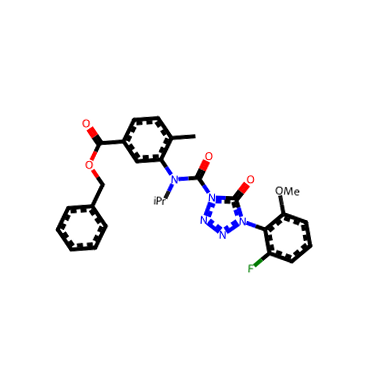 COc1cccc(F)c1-n1nnn(C(=O)N(c2cc(C(=O)OCc3ccccc3)ccc2C)C(C)C)c1=O